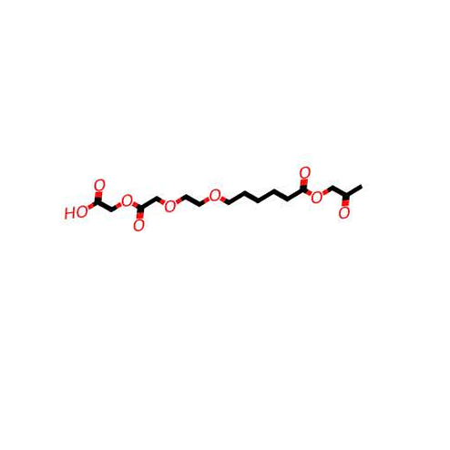 CC(=O)COC(=O)CCCCCOCCOCC(=O)OCC(=O)O